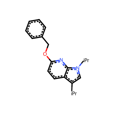 CC(C)c1cn(C(C)C)c2nc(OCc3ccccc3)ccc12